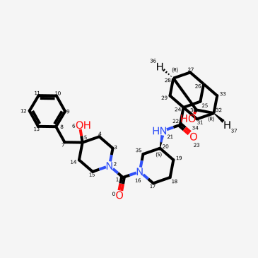 O=C(N1CCC(O)(Cc2ccccc2)CC1)N1CCC[C@H](NC(=O)C23CC4C[C@H](C2)C(O)[C@H](C4)C3)C1